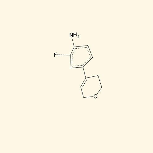 Nc1ccc(C2=CCOCC2)cc1F